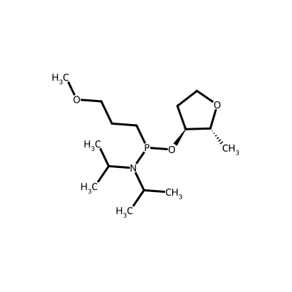 COCCCP(O[C@H]1CCO[C@@H]1C)N(C(C)C)C(C)C